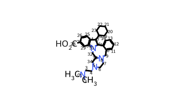 CN(C)CCN1CCN2Cc3ccccc3C3C(C4CCCCC4)c4ccc(C(=O)O)cc4N3CC2C1